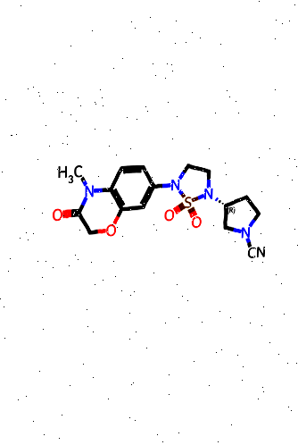 CN1C(=O)COc2cc(N3CCN([C@@H]4CCN(C#N)C4)S3(=O)=O)ccc21